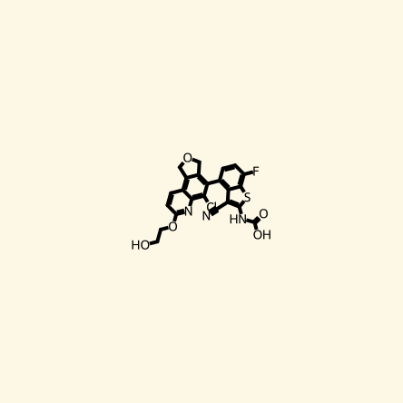 N#Cc1c(NC(=O)O)sc2c(F)ccc(-c3c4c(c5ccc(OCCO)nc5c3Cl)COC4)c12